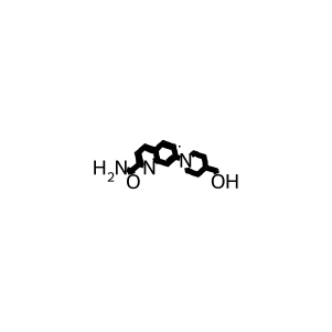 NC(=O)c1ccc2c[c]c(N3CCC(CO)CC3)cc2n1